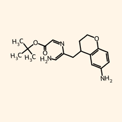 CC(C)(C)OC(=O)/C=N\C(=C/N)CC1CCOc2ccc(N)cc21